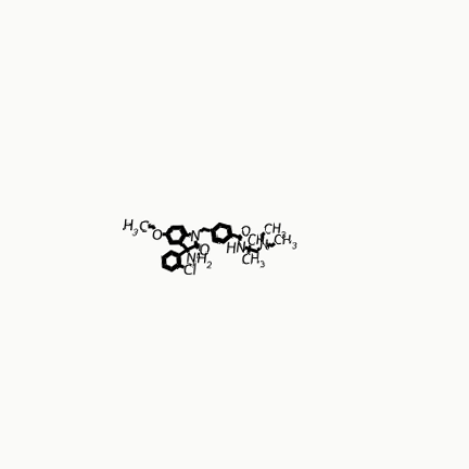 CCOc1ccc2c(c1)C(N)(c1ccccc1Cl)C(=O)N2Cc1ccc(C(=O)NC(C)(C)CN(CC)CC)cc1